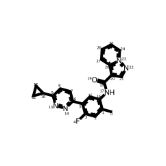 Cc1cc(F)c(-c2ccc(C3CC3)nn2)cc1NC(=O)c1cnn2ccccc12